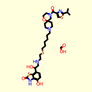 CC(C)c1nc(C(=O)N2CCOC3(CCN(CCCCCCSCCNCC(O)c4ccc(O)c5[nH]c(=O)sc45)CC3)C2)cs1.O=CO